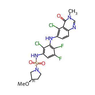 CO[C@@H]1CCN(S(=O)(=O)Nc2cc(F)c(F)c(Nc3ccc4ncn(C)c(=O)c4c3Cl)c2Cl)C1